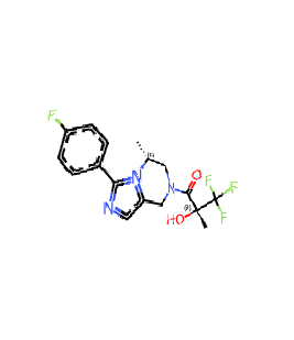 C[C@@H]1CN(C(=O)[C@@](C)(O)C(F)(F)F)Cc2cnc(-c3ccc(F)cc3)n21